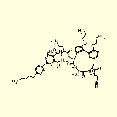 CCCCCc1ccc(-c2nc(C)c(C(=O)N[C@@H](CCN)C(=O)N(C)[C@@H]3C(=O)N[C@@H](C)C(=O)N[C@H](C(=O)NCC#N)Cc4ccc(OCCN)c(c4)-c4cc3ccc4OCCN)c(C)n2)cc1